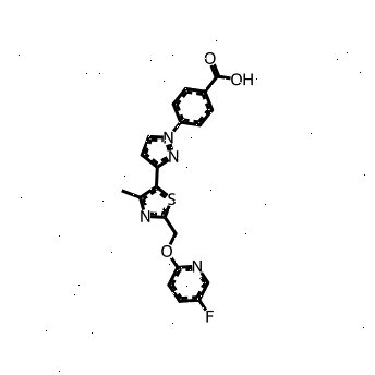 Cc1nc(COc2ccc(F)cn2)sc1-c1ccn(-c2ccc(C(=O)O)cc2)n1